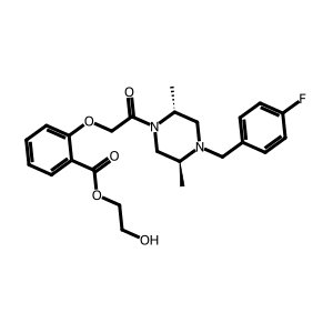 C[C@@H]1CN(Cc2ccc(F)cc2)[C@@H](C)CN1C(=O)COc1ccccc1C(=O)OCCO